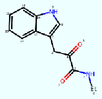 CCNC(=O)C(=O)Cc1c[nH]c2ccccc12